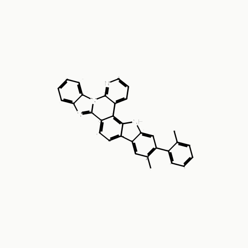 Cc1ccccc1-c1cc2[nH]c3c(ccc4c3c3cccnc3n3c5ccccc5nc43)c2cc1C